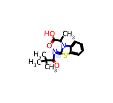 CC(C(=O)O)n1/c(=N/C(=O)C(C)(C)C)sc2ccccc21